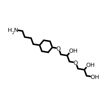 NCCCCC1CCC(OCC(O)COCC(O)CO)CC1